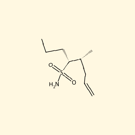 C=CC[C@@H](C)[C@@H](CCC)S(N)(=O)=O